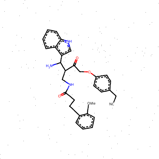 COc1ccccc1CCC(=O)NCC(C(=O)COc1ccc(CC#N)cc1)C(N)c1c[nH]c2ccccc12